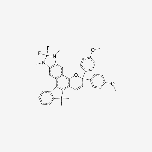 COc1ccc(C2(c3ccc(OC)cc3)C=Cc3c4c(c5cc6c(cc5c3O2)N(C)C(F)(F)N6C)-c2ccccc2C4(C)C)cc1